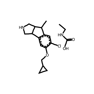 CC1c2cc(Cl)c(OCC3CC3)cc2C2CNCC12.CCNC(=O)O